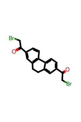 O=C(CBr)c1ccc2c(c1)CCc1cc(C(=O)CBr)ccc1-2